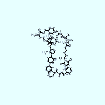 Cc1c(-c2ccc(-c3ccc4c(c3)N(C(=O)Nc3nc5ccccc5s3)CCO4)nc2C(=O)O)cnn1CC12CC3(C)CC(C)(C1)CC(OCCN(C)C(=O)OCc1ccc(NC(=O)CNC(=O)C(NC(=O)CCCCCN4C(=O)C=CC4=O)C(C)C)cc1)(C3)C2